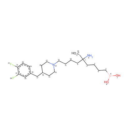 NC(CCCCB(O)O)(CCCCN1CCC(Cc2ccc(F)c(F)c2)CC1)C(=O)O